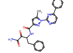 Cc1cc(C(=O)NC(Cc2ccccc2)C(=O)C(N)=O)nn1-c1nccc(-c2ccccc2)n1